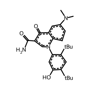 CN(C)c1ccc2c(c1)c(=O)c(C(N)=O)cn2-c1cc(O)c(C(C)(C)C)cc1C(C)(C)C